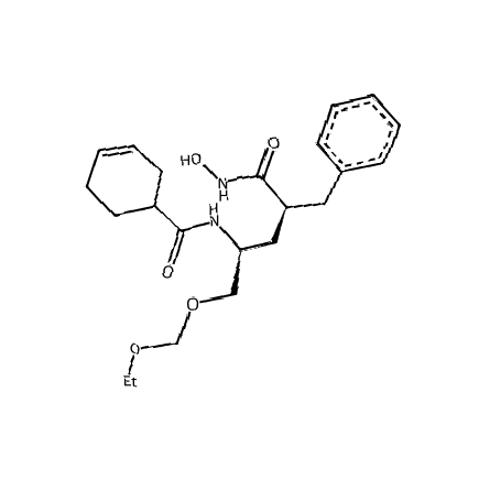 CCOCOC[C@H](C[C@H](Cc1ccccc1)C(=O)NO)NC(=O)C1CC=CCC1